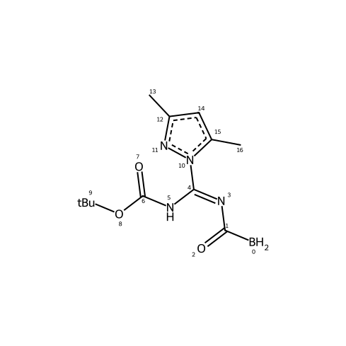 BC(=O)N=C(NC(=O)OC(C)(C)C)n1nc(C)cc1C